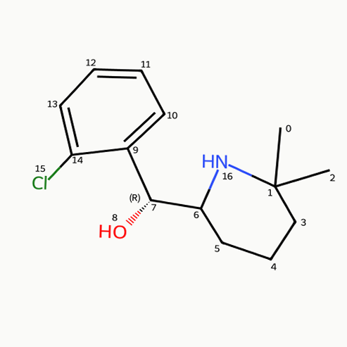 CC1(C)CCCC([C@H](O)c2ccccc2Cl)N1